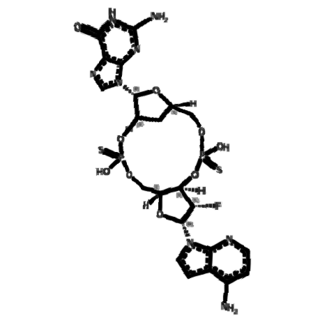 Nc1nc2c(ncn2[C@@H]2O[C@@H]3COP(O)(=S)O[C@H]4[C@H](F)[C@H](n5ccc6c(N)ccnc65)O[C@@H]4COP(O)(=S)O[C@@H]2C3)c(=O)[nH]1